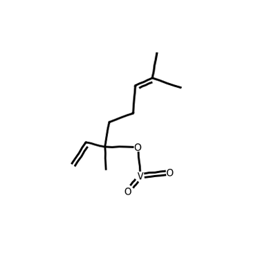 C=CC(C)(CCC=C(C)C)[O][V](=[O])=[O]